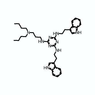 CCCCN(CCCC)CCCNc1nc(NCCc2c[nH]c3ccccc23)nc(NCCc2c[nH]c3ccccc23)n1